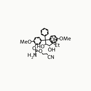 CC[C@H](O)[C@H](O)C(O)C(c1ccccc1)(c1ccc(OC)cc1)c1ccc(OC)c(OP(N)OCCC#N)c1